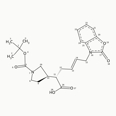 CC(C)(C)OC(=O)N1CC[C@H]([C@H](C/C=C/Cn2c(=O)oc3ccccc32)C(=O)O)C1